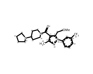 COCc1c(C(=O)N2CCC(N3CCCC3)CC2)c(C)nn1-c1cccc(C(F)(F)F)c1